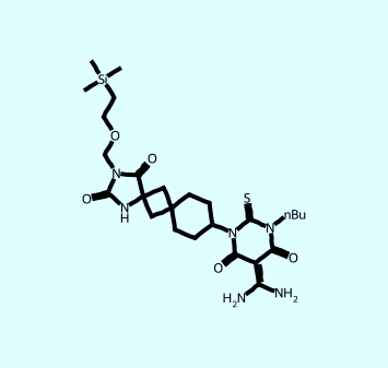 CCCCN1C(=O)C(=C(N)N)C(=O)N(C2CCC3(CC2)CC2(C3)NC(=O)N(COCC[Si](C)(C)C)C2=O)C1=S